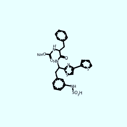 COC(=O)NC(Cc1ccccc1)C(=O)NC(Cc1cccc(NS(=O)(=O)O)c1)c1nc(-c2cccs2)cs1